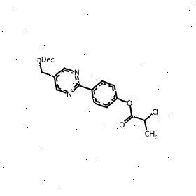 CCCCCCCCCCCc1cnc(-c2ccc(OC(=O)C(C)Cl)cc2)nc1